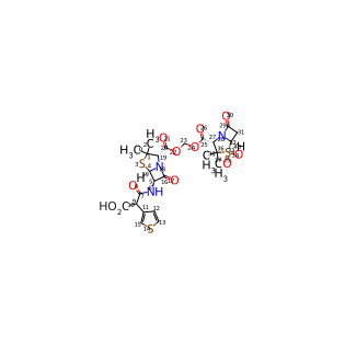 CC1(C)S[C@@H]2[C@H](NC(=O)C(C(=O)O)c3ccsc3)C(=O)N2[C@H]1C(=O)OCOC(=O)[C@@H]1N2C(=O)C[C@H]2S(=O)(=O)C1(C)C